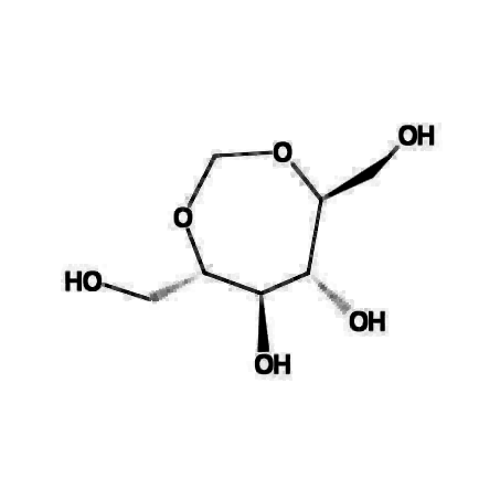 OC[C@@H]1OCO[C@@H](CO)[C@H](O)[C@H]1O